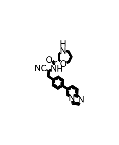 N#C[C@H](Cc1ccc(-c2ccc3nccn3c2)cc1)NC(=O)[C@@H]1CNCCCO1